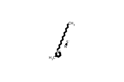 CCCCCCCCCCCCCC[n+]1cccc(C)c1.N#C[S-]